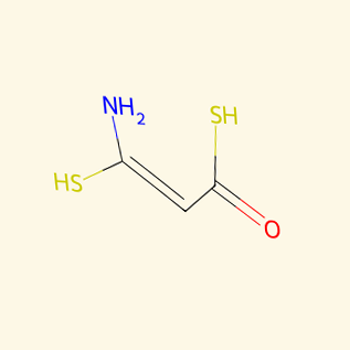 N/C(S)=C\C(=O)S